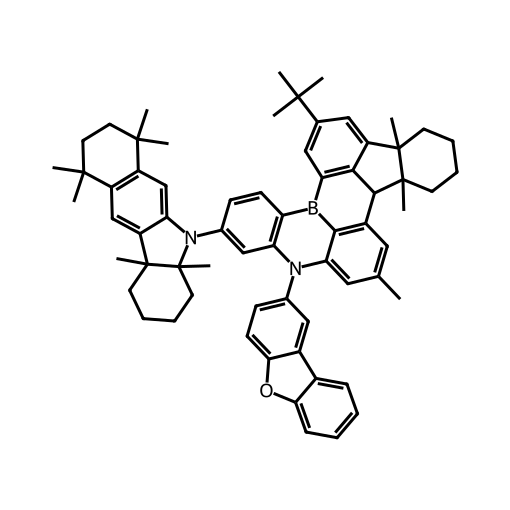 Cc1cc2c3c(c1)N(c1ccc4oc5ccccc5c4c1)c1cc(N4c5cc6c(cc5C5(C)CCCCC45C)C(C)(C)CCC6(C)C)ccc1B3c1cc(C(C)(C)C)cc3c1C2C1(C)CCCCC31C